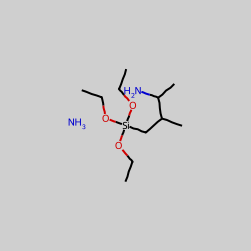 CCO[Si](CC(C)C(C)N)(OCC)OCC.N